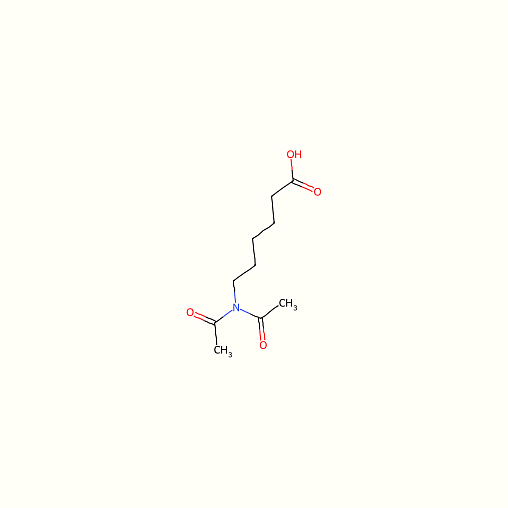 CC(=O)N(CCCCCC(=O)O)C(C)=O